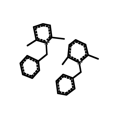 Cc1cccc(C)[n+]1Cc1ccccc1.Cc1cccc(C)[n+]1Cc1ccccc1